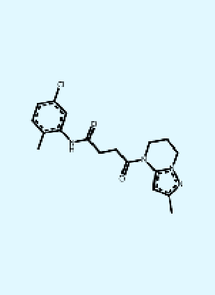 Cc1cc2n(n1)CCCN2C(=O)CCC(=O)Nc1cc(Cl)ccc1C